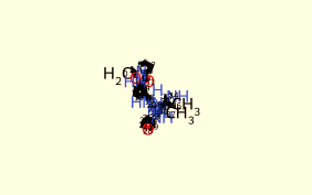 C=CC(=O)N1CCCCC1C(=O)Nc1cccc(CNC2=NC(N[C@@H]3CCCOC3)=N/C(=C(/C=N)C(C)C)N2)c1